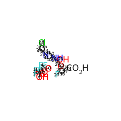 O=C(O)C(F)(F)F.O=C(O)C(F)(F)F.O=C(O)Cc1ccc(F)cc1OC[C@@H](O)CNC1CCN(Cc2ccc(Cl)cc2)CC1